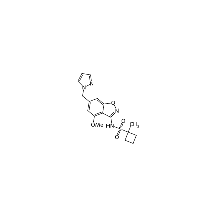 COc1cc(Cn2cccn2)cc2onc(NS(=O)(=O)C3(C)CCC3)c12